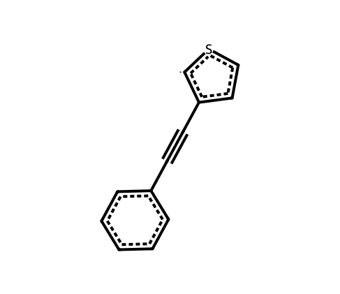 C(#Cc1ccccc1)c1[c]scc1